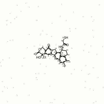 CC[C@@]1(O)C(=O)OCc2c1cc1n(c2=O)Cc2c-1nc1cc(F)c(C)c3c1c2[C@@H](NC(=O)CS)CC3